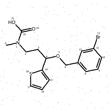 CN(CCC(OCc1cccc(Br)c1)c1cccs1)C(=O)O